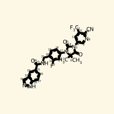 CC1(C)C(=O)N(c2cnc(C#N)c(C(F)(F)F)c2)C(=O)N1c1ccc(CNC(=O)c2ccc3[nH]ncc3c2)c(F)c1